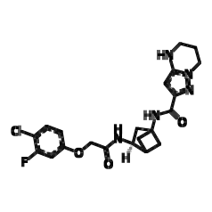 O=C(COc1ccc(Cl)c(F)c1)N[C@H]1CC2(NC(=O)c3cc4n(n3)CCCN4)CC1C2